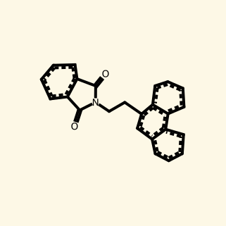 O=C1c2ccccc2C(=O)N1CCc1cc2ccccc2c2ccccc12